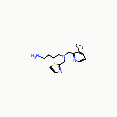 Cc1cccnc1CN(CCCCN)Cc1nccs1